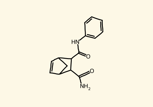 NC(=O)C1C2C=CC(C2)C1C(=O)Nc1ccccc1